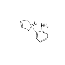 Nc1ccccc1P1(=O)CC=CC1